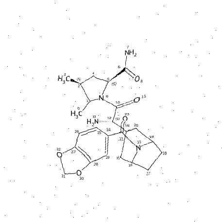 CC1[C@@H](C)C[C@@H](C(N)=O)N1C(=O)[C@@H](N)C1CC2CCC(C1)N2C(=O)c1ccc2c(c1)OCO2